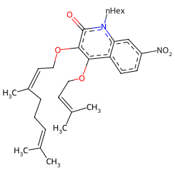 CCCCCCn1c(=O)c(OCC=C(C)CCC=C(C)C)c(OCC=C(C)C)c2ccc([N+](=O)[O-])cc21